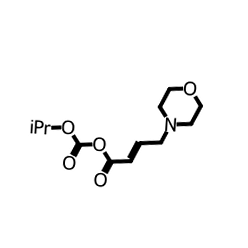 CC(C)OC(=O)OC(=O)/C=C/CN1CCOCC1